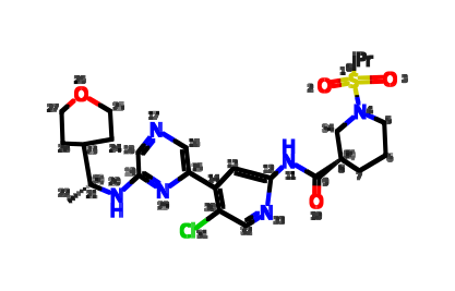 CC(C)S(=O)(=O)N1CCC[C@@H](C(=O)Nc2cc(-c3cncc(N[C@H](C)C4CCOCC4)n3)c(Cl)cn2)C1